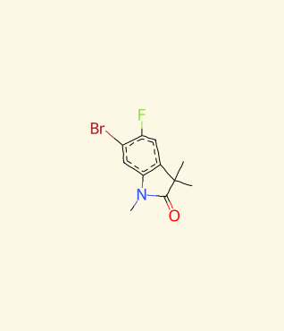 CN1C(=O)C(C)(C)c2cc(F)c(Br)cc21